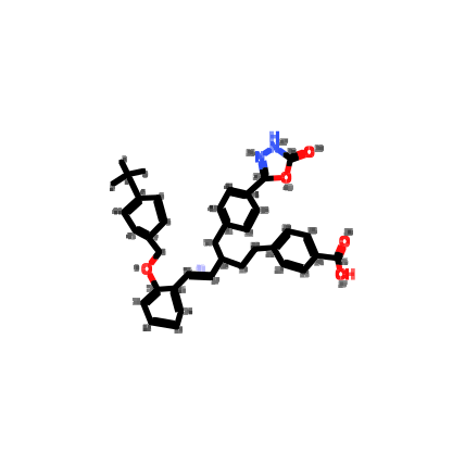 CC(C)(C)c1ccc(COc2ccccc2/C=C/C(CCc2ccc(C(=O)O)cc2)Cc2ccc(-c3n[nH]c(=O)o3)cc2)cc1